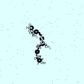 COc1cc(-c2nc([C@]34CC[C@](CNC(=O)c5cc(F)c(O)c(F)c5F)(CC3)CC4)no2)nc(N2CCN(CCCc3ccc4c(c3)n(C)c(=O)n4C3CCC(=O)NC3=O)CC2)n1